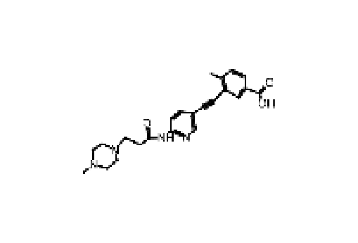 Cc1ccc(C(=O)O)cc1C#Cc1ccc(NC(=O)CCN2CCN(C)CC2)nc1